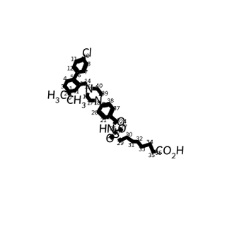 CC1(C)CCC(c2ccc(Cl)cc2)=C(CN2CCN(c3ccc(C(=O)NS(=O)(=O)CCCCCCCC(=O)O)cc3)CC2)C1